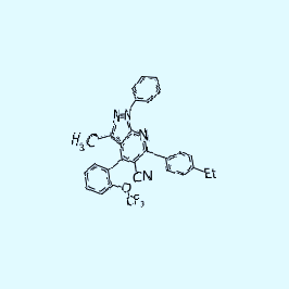 CCc1ccc(-c2nc3c(c(C)nn3-c3ccccc3)c(-c3ccccc3OC(F)(F)F)c2C#N)cc1